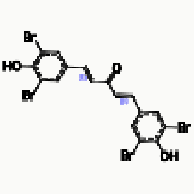 O=C(/C=C/c1cc(Br)c(O)c(Br)c1)/C=C/c1cc(Br)c(O)c(Br)c1